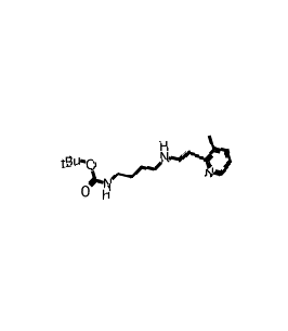 Cc1cccnc1CCNCCCCNC(=O)OC(C)(C)C